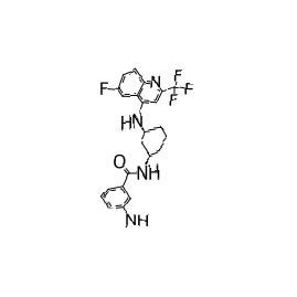 CNc1cccc(C(=O)N[C@@H]2CCC[C@H](Nc3cc(C(F)(F)F)nc4ccc(F)cc34)C2)c1